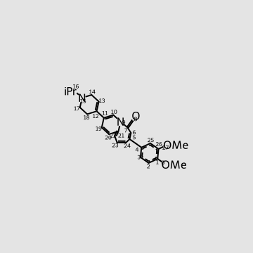 COc1ccc(C2=C\C(=O)N3C=C(C4=CCN(C(C)C)CC4)C=C\C3=C/C=C/2)cc1OC